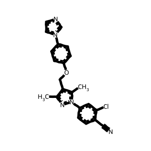 Cc1nn(-c2ccc(C#N)c(Cl)c2)c(C)c1COc1ccc(-n2ccnc2)cc1